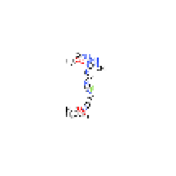 CNc1cc(N2CCc3c(CN4CC[C@@H](N5CCC(CC6CCN(C(=O)OC(C)(C)C)CC6)CC5)C(F)(F)C4)cccc32)nn2c(C(=O)N[C@@H]3CC[C@H]3OC)cnc12